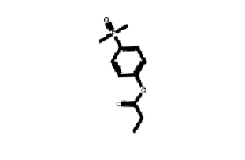 CCC(=O)Oc1ccc(P(C)(C)=O)cc1